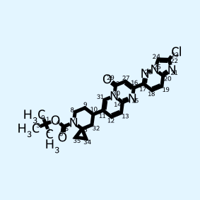 CC(C)(C)OC(=O)N1CCC(c2ccc3nc(-c4ccc5nc(Cl)cn5n4)cc(=O)n3c2)CC12CC2